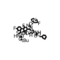 CC(C)(C)OC(=O)Nc1sc2c(F)ccc(-c3c(Cl)c4c5c(nc(OC[C@@]67CCCN6C[C@H](F)C7)nc5c3F)N3C[C@H](NC(=O)OCc5ccccc5)C[C@H]3CO4)c2c1C#N